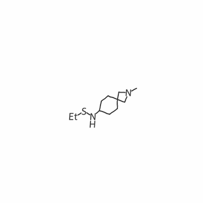 CCSNC1CCC2(CC1)CN(C)C2